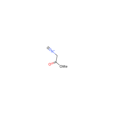 C#[N+]CC(=O)OC